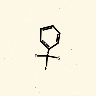 FC(F)([S])c1ccccc1